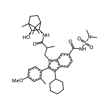 COc1ccc(-c2c(C3CCCCC3)c3ccc(C(=O)NS(=O)(=O)N(C)C)cc3n2CC(C)C(=O)N[C@@H]2C3CCC(C)([C@@H]2O)C3(C)C)c(C)c1